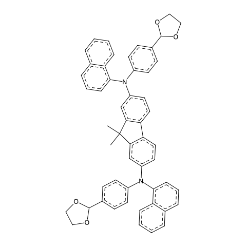 CC1(C)c2cc(N(c3ccc(C4OCCO4)cc3)c3cccc4ccccc34)ccc2-c2ccc(N(c3ccc(C4OCCO4)cc3)c3cccc4ccccc34)cc21